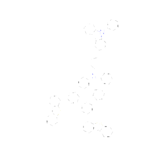 C1=C(c2ccc3c(c2)c2ccccc2n3-c2ccccc2)CC2C(=C1)N(c1cccc3c1-c1ccccc1C3(c1ccc(-c3cccc4c3sc3ccccc34)cc1)c1ccc(-c3cccc4c3sc3ccccc34)cc1)c1ccccc12